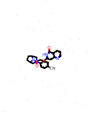 N#Cc1ccc(N2CC3CCC(C2)N3C(=O)CCc2cc3ncccc3c(=O)[nH]2)cc1